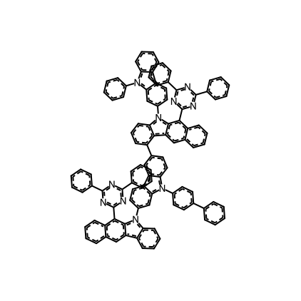 c1ccc(-c2ccc(-n3c4ccc(-c5cccc6c5c5cc7ccccc7c(-c7nc(-c8ccccc8)nc(-c8ccccc8)n7)c5n6-c5ccc6c7ccccc7n(-c7ccccc7)c6c5)cc4c4ccc(-n5c6ccccc6c6cc7ccccc7c(-c7nc(-c8ccccc8)nc(-c8ccccc8)n7)c65)cc43)cc2)cc1